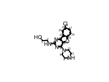 OCCNc1nc(N2CCNCC2)c2oc3ccc(Cl)cc3c2n1